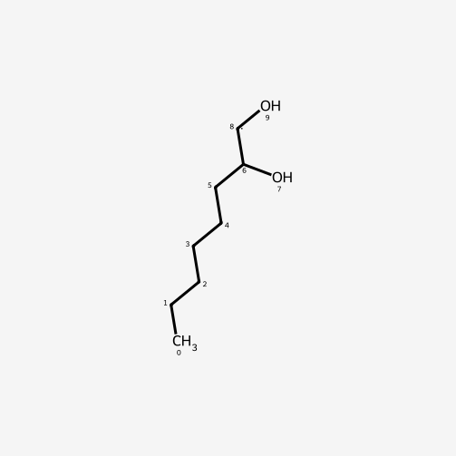 CCCCCCC(O)[CH]O